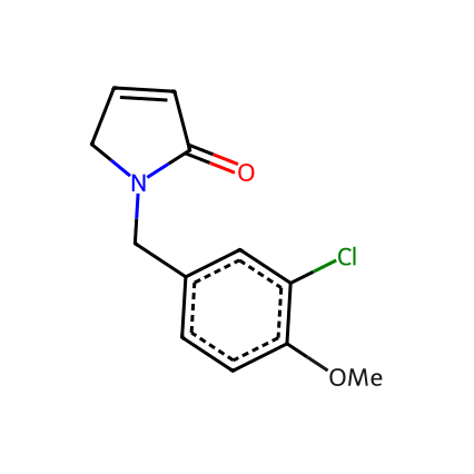 COc1ccc(CN2CC=CC2=O)cc1Cl